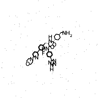 NC[C@H]1CC[C@H](C(=O)N[C@@H](Cc2ccc(-c3ccc(N4CCOCC4)nc3)c(F)c2)C(=O)Nc2ccc(-c3nn[nH]n3)cc2)CC1